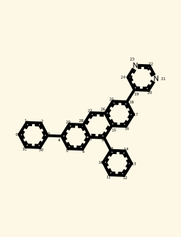 c1ccc(-c2ccc3c(-c4ccccc4)c4ccc(-c5cncnc5)cc4cc3c2)cc1